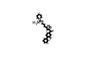 CC(c1ccc(-c2ccccc2)c(F)c1)c1cc(CCC/N=C(\N)N2CCCCC2)no1